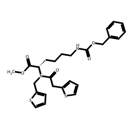 COC(=O)[C@H](CCCCNC(=O)OCc1ccccc1)N(Cc1cccs1)C(=O)Cc1cccs1